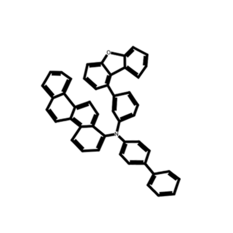 c1ccc(-c2ccc(N(c3cccc(-c4cccc5oc6ccccc6c45)c3)c3cccc4c3ccc3c5ccccc5ccc43)cc2)cc1